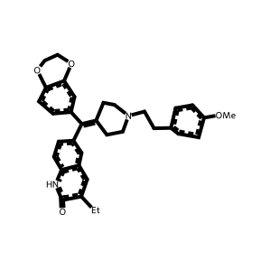 CCc1cc2cc(C(=C3CCN(CCc4ccc(OC)cc4)CC3)c3ccc4c(c3)OCCO4)ccc2[nH]c1=O